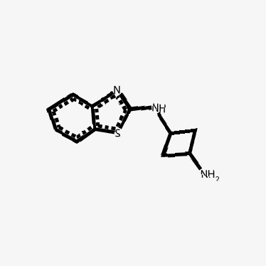 NC1CC(Nc2nc3ccccc3s2)C1